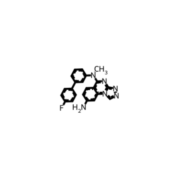 CN(c1cccc(-c2ccc(F)cc2)c1)c1nc2nncn2c2cc(N)ccc12